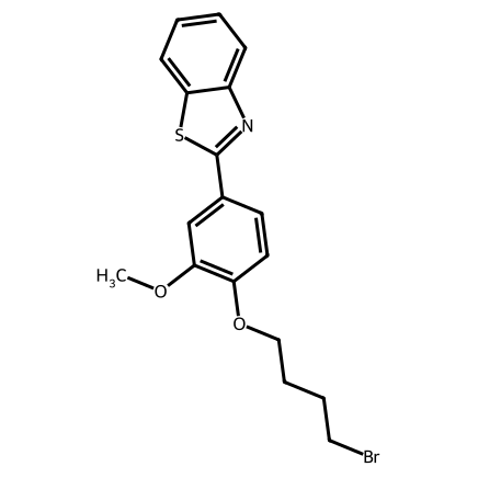 COc1cc(-c2nc3ccccc3s2)ccc1OCCCCBr